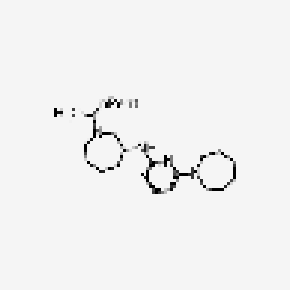 CCCCCC(C)N1CCCCC(Nc2nccc(N3CCCCCC3)n2)C1